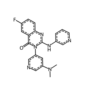 CN(C)c1cncc(-n2c(Nc3cccnc3)nc3ccc(F)cc3c2=O)c1